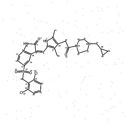 Cc1[nH]c(/C=C2\C(=O)Nc3ccc(S(=O)(=O)Cc4c(Cl)cccc4Cl)cc32)c(C)c1CC(=O)N1CCN(CC2CC2)CC1